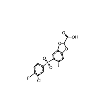 Cc1cc2c(cc1S(=O)(=O)c1ccc(F)c(Cl)c1)OC(C(=O)O)O2